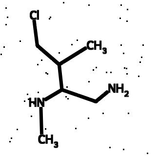 CNC(CN)C(C)CCl